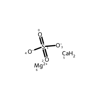 O=S(=O)([O-])[O-].[CaH2].[Mg+2]